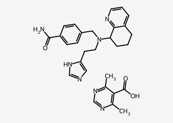 Cc1ncnc(C)c1C(=O)O.NC(=O)c1ccc(CN(CCc2cnc[nH]2)C2CCCc3cccnc32)cc1